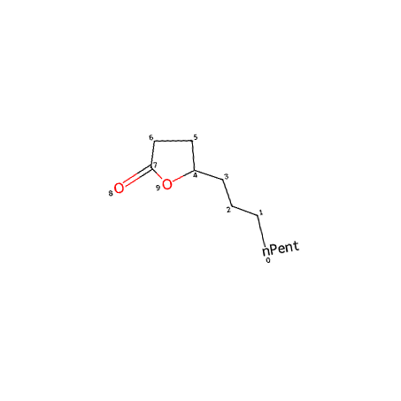 CCCCCCCCC1CCC(=O)O1